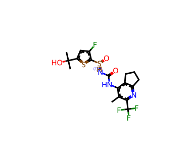 Cc1c(C(F)(F)F)nc2c(c1NC(=O)/N=[SH](=O)/c1sc(C(C)(C)O)cc1F)CCC2